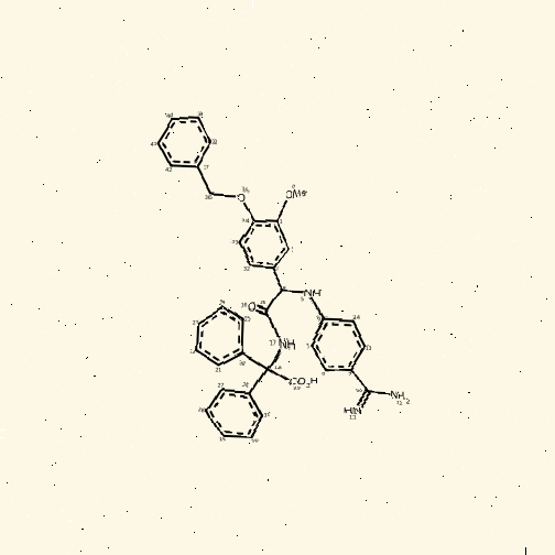 COc1cc(C(Nc2ccc(C(=N)N)cc2)C(=O)NC(C(=O)O)(c2ccccc2)c2ccccc2)ccc1OCc1ccccc1